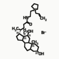 C=CC[N+]1(CCNC(=O)CCC(C)[C@H]2CCC3C4CCC5C[C@H](O)CC[C@]5(C)C4C[C@H](O)[C@@]32C)CCCC1.[Br-]